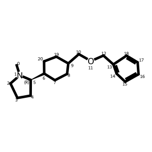 CN1CCC[C@@H]1C1CCC(COCc2ccccc2)CC1